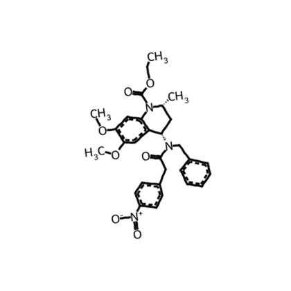 CCOC(=O)N1c2cc(OC)c(OC)cc2[C@@H](N(Cc2ccccc2)C(=O)Cc2ccc([N+](=O)[O-])cc2)C[C@H]1C